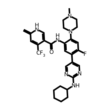 C=C1C=C(C(F)(F)F)C(C(=O)Nc2cc(-c3cnc(NC4CCCCC4)nc3)c(F)cc2N2CCN(C)CC2)=CN1